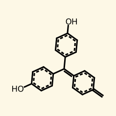 C=c1ccc(=C(c2ccc(O)cc2)c2ccc(O)cc2)cc1